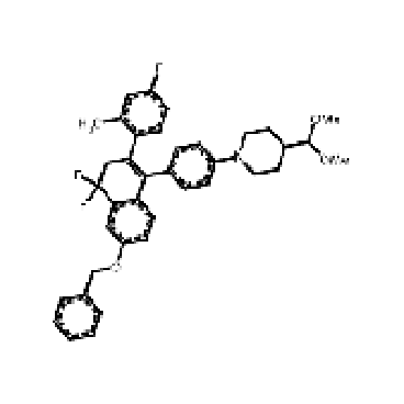 COC(OC)C1CCN(c2ccc(C3=C(c4ccc(F)cc4C)CC(F)(F)c4cc(OCc5ccccc5)ccc43)cc2)CC1